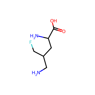 NCC(CF)CC(N)C(=O)O